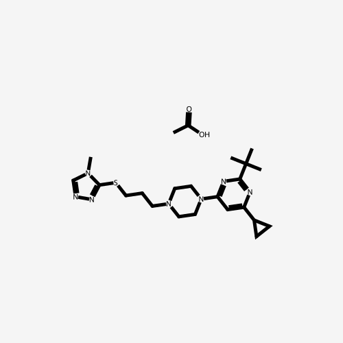 CC(=O)O.Cn1cnnc1SCCCN1CCN(c2cc(C3CC3)nc(C(C)(C)C)n2)CC1